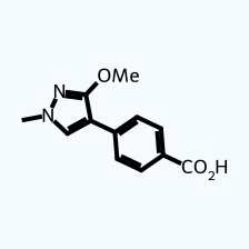 COc1nn(C)cc1-c1ccc(C(=O)O)cc1